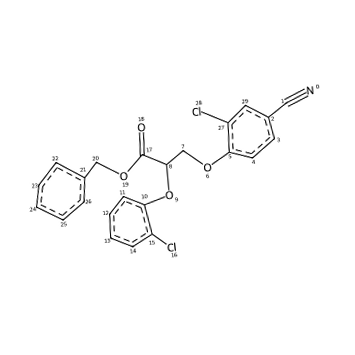 N#Cc1ccc(OCC(Oc2ccccc2Cl)C(=O)OCc2ccccc2)c(Cl)c1